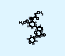 C=CC(=O)Nc1cc(-c2csc3c(=O)cc(N4CCOCC4)oc23)ccc1OC